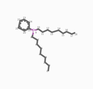 CCCCCCCCCP(CCCCCCCCC)c1ccccc1